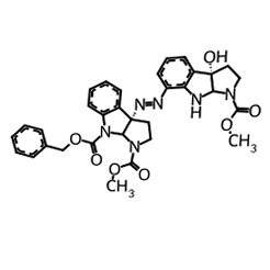 COC(=O)N1CC[C@]2(/N=N/c3cccc4c3NC3N(C(=O)OC)CC[C@]43O)c3ccccc3N(C(=O)OCc3ccccc3)C12